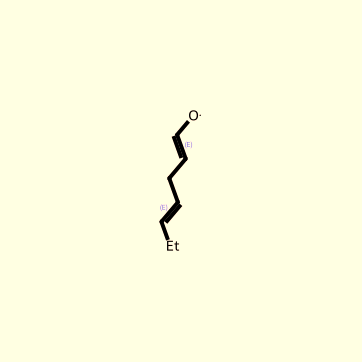 CC/C=C/C/C=C/[O]